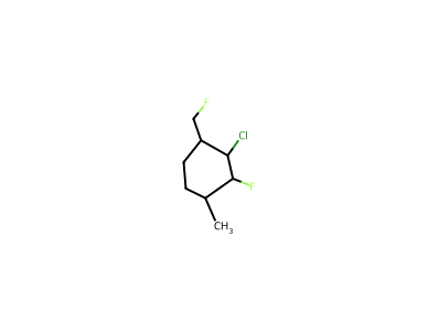 CC1CCC(CF)C(Cl)C1F